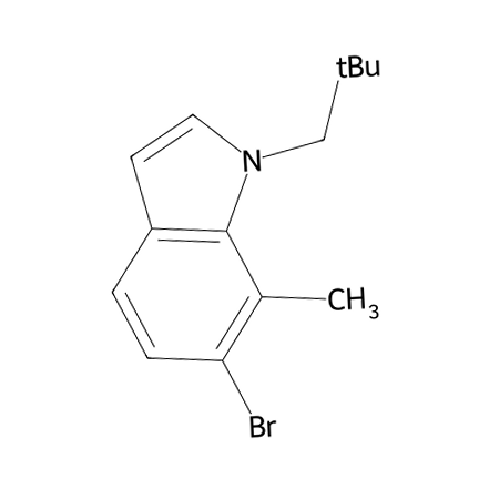 Cc1c(Br)ccc2ccn(CC(C)(C)C)c12